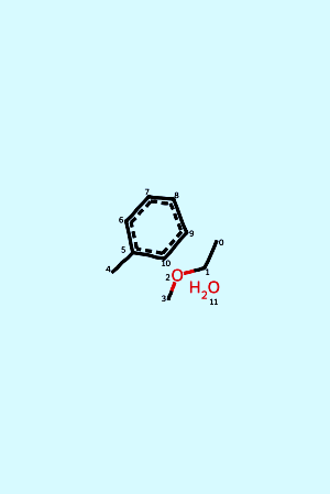 CCOC.Cc1ccccc1.O